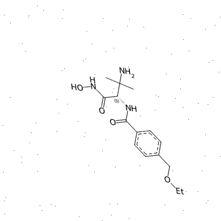 CCOCc1ccc(C(=O)N[C@H](C(=O)NO)C(C)(C)N)cc1